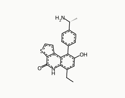 CCc1cc(O)c(-c2ccc([C@@H](C)N)cc2)c2c1[nH]c(=O)c1sccc12